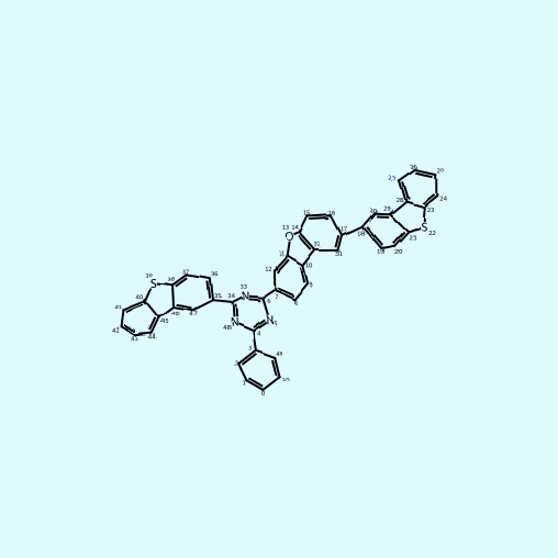 c1ccc(-c2nc(-c3ccc4c(c3)oc3ccc(-c5ccc6sc7ccccc7c6c5)cc34)nc(-c3ccc4sc5ccccc5c4c3)n2)cc1